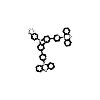 CSc1ccc(-n2c3ccc(-c4ccc(N5c6ccccc6Oc6ccccc65)nc4)cc3c3cc(-c4ccc(N5c6ccccc6Oc6ccccc65)nc4)ccc32)cc1